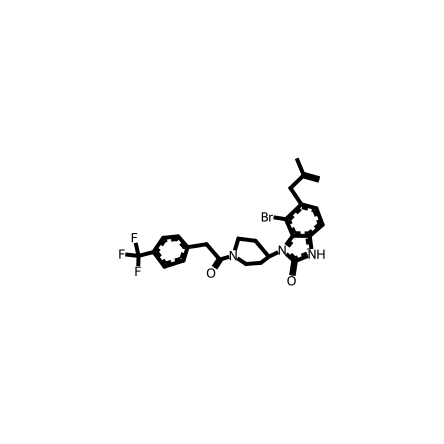 C=C(C)Cc1ccc2[nH]c(=O)n(C3CCN(C(=O)Cc4ccc(C(F)(F)F)cc4)CC3)c2c1Br